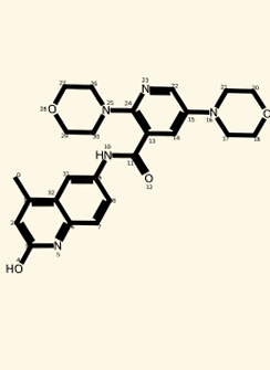 Cc1cc(O)nc2ccc(NC(=O)c3cc(N4CCOCC4)cnc3N3CCOCC3)cc12